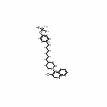 [O]c1cnc2ccccc2c1N1CCC(CCCCCCc2ccc(OC(F)(F)F)cc2)CC1